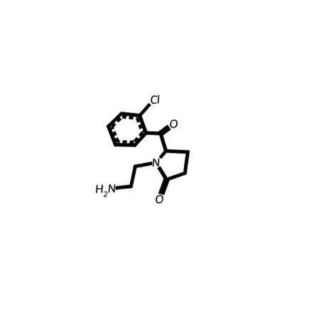 NCCN1C(=O)CCC1C(=O)c1ccccc1Cl